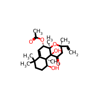 C=C[C@@]1(C)CC(=O)[C@@]2(O)[C@](C)(O1)[C@@H](OC(C)=O)C=C1C(C)(C)CC[C@H](O)[C@@]12C